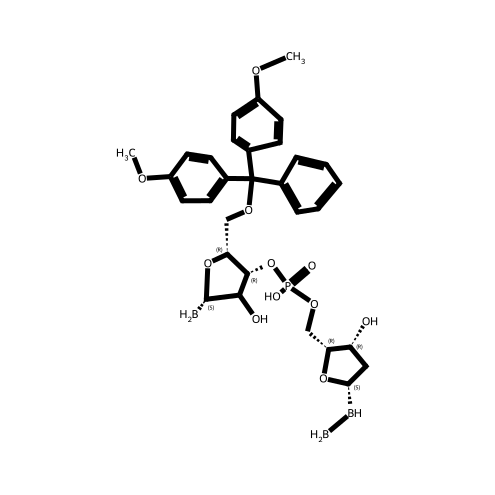 BB[C@H]1C[C@@H](O)[C@@H](COP(=O)(O)O[C@@H]2C(O)[C@H](B)O[C@@H]2COC(c2ccccc2)(c2ccc(OC)cc2)c2ccc(OC)cc2)O1